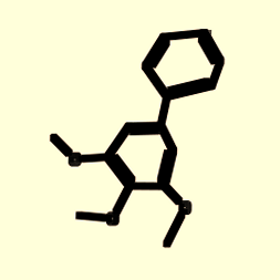 COc1cc(-c2cc[c]cc2)cc(OC)c1OC